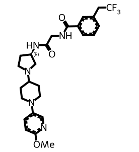 COc1ccc(N2CCC(N3CC[C@@H](NC(=O)CNC(=O)c4cccc(CC(F)(F)F)c4)C3)CC2)cn1